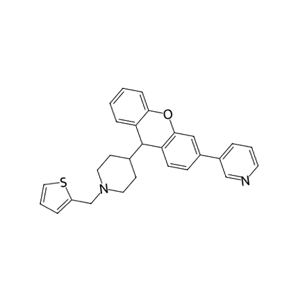 c1cncc(-c2ccc3c(c2)Oc2ccccc2C3C2CCN(Cc3cccs3)CC2)c1